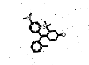 Cc1ccccc1C1=C2C=CC(=O)C=C2[Si](C)(C)c2cc(N(C)C)ccc21